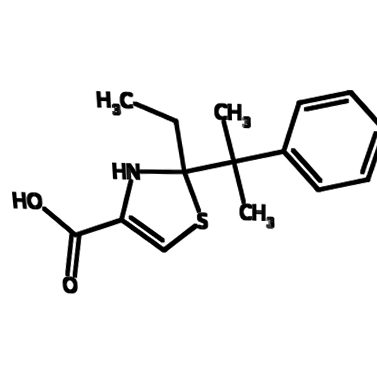 CCC1(C(C)(C)c2ccccc2)NC(C(=O)O)=CS1